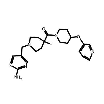 Nc1ncc(CN2CCC(F)(C(=O)N3CCC(Oc4cccnc4)CC3)CC2)cn1